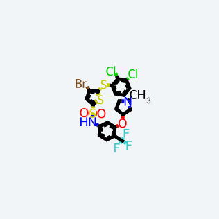 CN1CCC(Oc2cc(NS(=O)(=O)c3cc(Br)c(Sc4cccc(Cl)c4Cl)s3)ccc2C(F)(F)F)C1